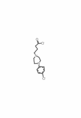 O=C(Cl)CCCN1CCN(c2ccc(Cl)cc2)CC1